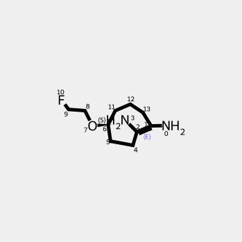 N/C1=C(/N)CC[C@@H](OCCF)CCC1